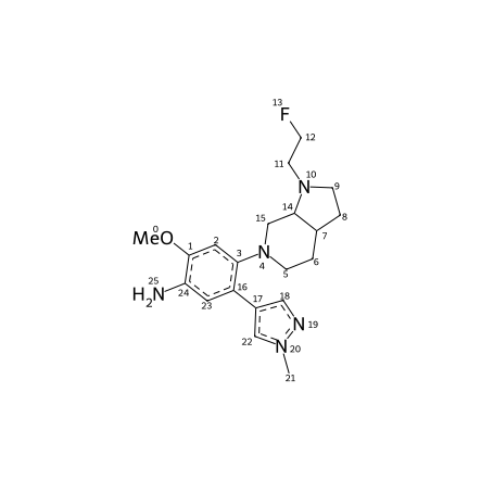 COc1cc(N2CCC3CCN(CCF)C3C2)c(-c2cnn(C)c2)cc1N